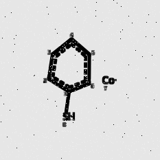 Sc1cc[c]cc1.[Co]